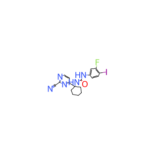 N#Cc1nccc(C2(NC(=O)Nc3ccc(I)c(F)c3)CCCCC2)n1